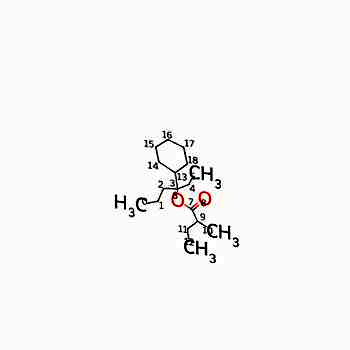 CCCC(CC)(OC(=O)C(C)CC)C1CCCCC1